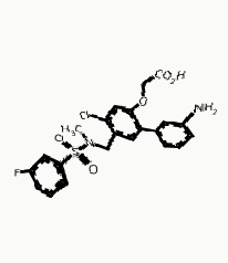 CN(Cc1cc(-c2cccc(N)c2)c(OCC(=O)O)cc1Cl)S(=O)(=O)c1cccc(F)c1